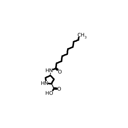 CCCCCCCCCC(=O)N[C@H]1CN[C@H](C(=O)O)C1